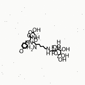 COc1ccc(C[C@H](NC(=O)[C@@H](N)CCCCNCC(F)(F)C2(O)O[C@H](CO)[C@H](O)[C@H](O)[C@H]2O)C(=O)N[C@@H](C)C(=O)O)cc1